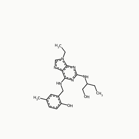 CCC(CO)Nc1nc(NCc2cc(C)ccc2O)c2ncn(CC)c2n1